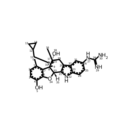 Cc1ccc(O)c2c1[C@]13CN(CC4CC4)C(C)[C@]1(O)Cc1c([nH]c4ccc(NC(=N)N)cc14)[C@@H]3O2